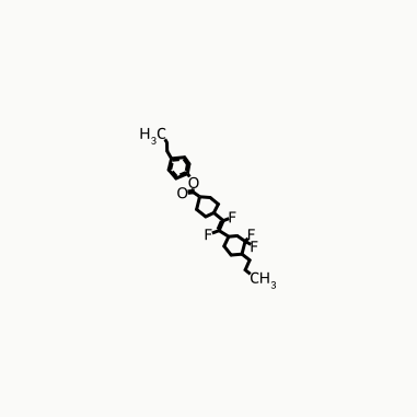 CCCc1ccc(OC(=O)C2CCC(/C(F)=C(\F)C3CCC(CCC)C(F)(F)C3)CC2)cc1